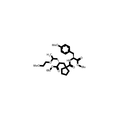 COCCOC(C)C[C@H](CC1(C(=O)N[C@@H](Cc2ccc(OC)cc2)C(=O)OC(C)(C)C)CCCC1)C(=O)OC(C)(C)C